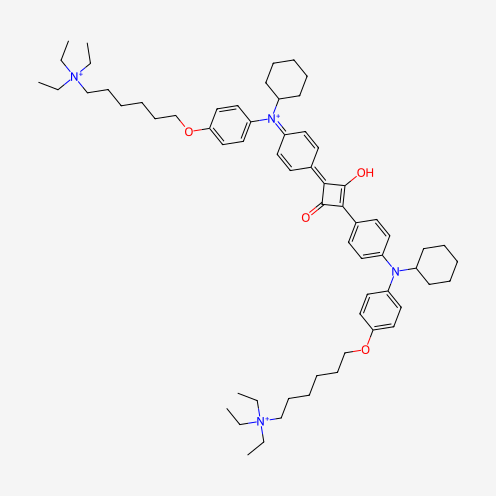 CC[N+](CC)(CC)CCCCCCOc1ccc(N(c2ccc(C3=C(O)C(=C4C=CC(=[N+](c5ccc(OCCCCCC[N+](CC)(CC)CC)cc5)C5CCCCC5)C=C4)C3=O)cc2)C2CCCCC2)cc1